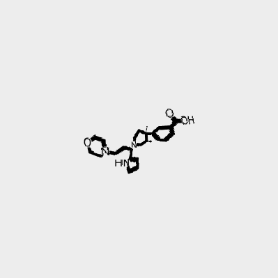 C[C@H]1CN(C(CCN2CCOCC2)c2ccc[nH]2)CC[C@@]1(C)c1cccc(C(=O)O)c1